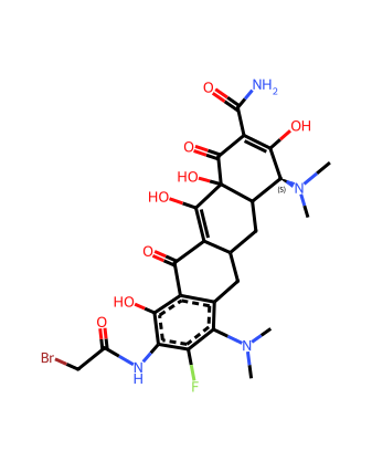 CN(C)c1c(F)c(NC(=O)CBr)c(O)c2c1CC1CC3[C@H](N(C)C)C(O)=C(C(N)=O)C(=O)C3(O)C(O)=C1C2=O